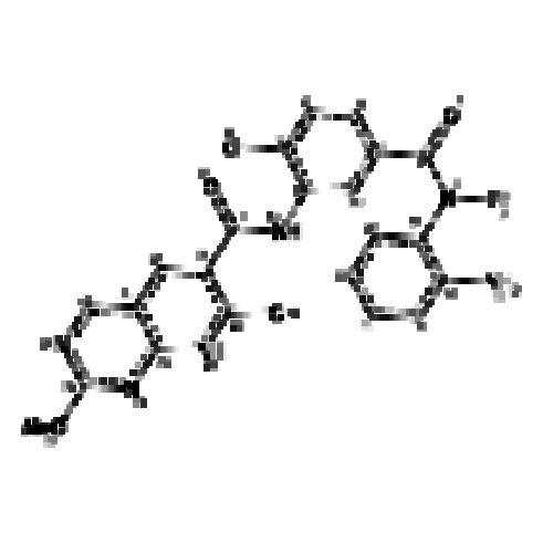 CCN(C(=O)c1ccc(Cl)c(NC(=O)c2cc3cnc(OC)nc3[nH]c2=O)c1)c1ccccc1N